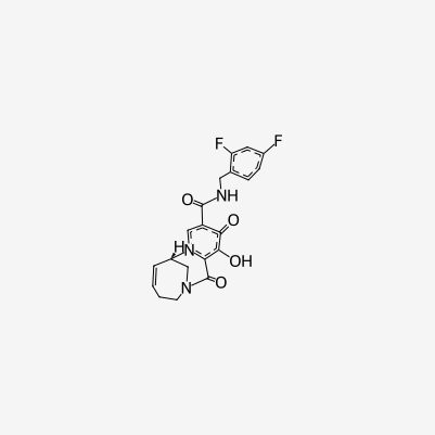 O=C(NCc1ccc(F)cc1F)c1cn2c(c(O)c1=O)C(=O)N1CCC=C[C@H]2C1